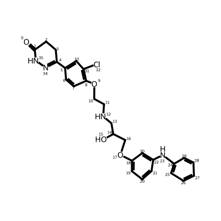 O=C1CCC(c2ccc(OCCNCC(O)COc3cccc(Nc4ccccc4)c3)c(Cl)c2)=NN1